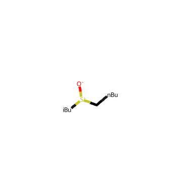 [CH2]CCCC[S+]([O-])C(C)CC